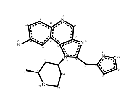 C[C@H]1C[C@@H](n2c(Cc3ccon3)nc3cnc4ccc(Br)cc4c32)CCO1